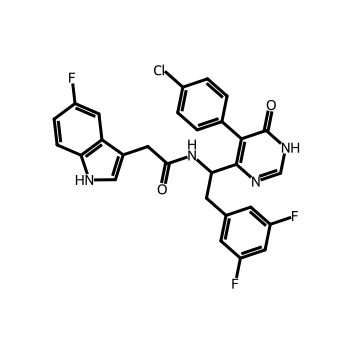 O=C(Cc1c[nH]c2ccc(F)cc12)NC(Cc1cc(F)cc(F)c1)c1nc[nH]c(=O)c1-c1ccc(Cl)cc1